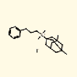 CC12CC3CC(C)(C1)CC([N+](C)(C)CCCc1ccccc1)(C3)C2.[I-]